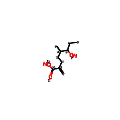 C=C(CCC(C)C(O)CC)C(=O)O